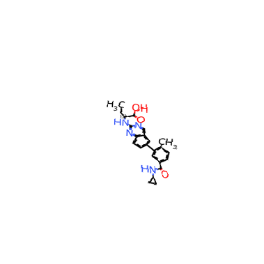 CC[C@H](Nc1ncc2cc(-c3cc(C(=O)NC4CC4)ccc3C)ccc2n1)C(=O)O